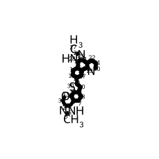 Cc1nc2c([nH]1)-c1ccc3cc(-c4ccc5c(c4)c4ncccc4c4nc(C)[nH]c54)sc3c1OC2